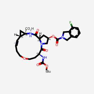 CC(C)(C)OC(=O)N[C@H]1CCOCC/C=C\[C@@H]2C[C@@]2(C(=O)O)NC(=O)[C@@H]2C[C@@H](OC(=O)N3Cc4cccc(F)c4C3)CN2C1=O